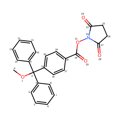 COC(c1ccccc1)(c1ccccc1)c1ccc(C(=O)ON2C(=O)CCC2=O)cc1